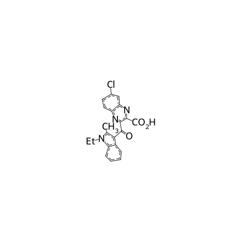 CCn1c(C)c(C(=O)c2nc3ccc(Cl)cc3nc2C(=O)O)c2ccccc21